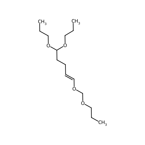 CCCOCOC=CCCC(OCCC)OCCC